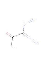 CCCCC(=O)C([N+]=[N-])=[N+]=[N-]